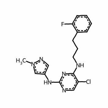 Cn1cc(Nc2ncc(Cl)c(NCCCc3ccccc3F)n2)cn1